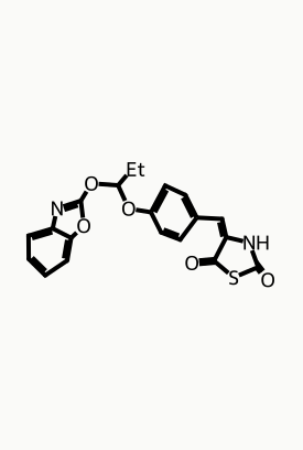 CCC(Oc1ccc(C=C2NC(=O)SC2=O)cc1)Oc1nc2ccccc2o1